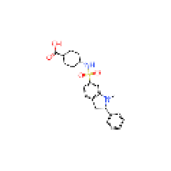 CN1c2cc(S(=O)(=O)N[C@H]3CC[C@H](C(=O)O)CC3)ccc2CC1c1ccccc1